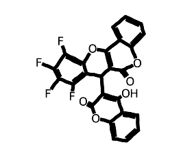 O=c1oc2ccccc2c(O)c1C1c2c(F)c(F)c(F)c(F)c2Oc2c1c(=O)oc1ccccc21